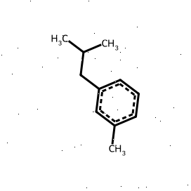 Cc1[c]c(CC(C)C)ccc1